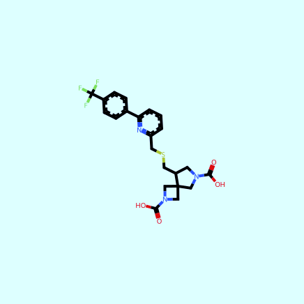 O=C(O)N1CC(CSCc2cccc(-c3ccc(C(F)(F)F)cc3)n2)C2(C1)CN(C(=O)O)C2